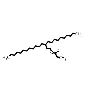 CCCCCCCCCCCCC(CCCCCCCCCC)CCOC(=O)CC